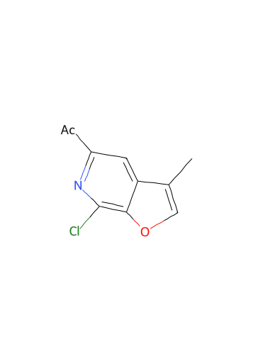 CC(=O)c1cc2c(C)coc2c(Cl)n1